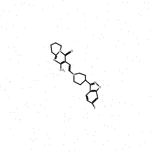 Cc1nc2n(c(=O)c1/C=C/N1CCC(c3noc4cc(F)ccc34)CC1)CCCC2